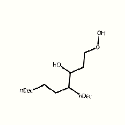 CCCCCCCCCCCCC(CCCCCCCCCC)C(O)CCOO